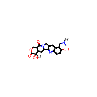 CCC1(O)C(=O)OCc2c1cc1n(c2=O)Cc2cc3c(CN(C)C(C)C)c(O)ccc3nc2-1